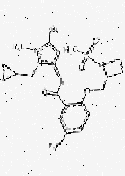 Cn1c(C(C)(C)C)cc(=NC(=O)c2cc(C(F)(F)F)ccc2OC[C@@H]2CCN2S(C)(=O)=O)n1CC1CC1